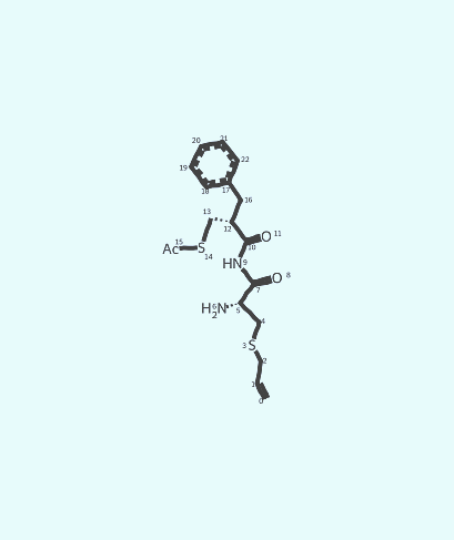 C=CCSC[C@H](N)C(=O)NC(=O)[C@H](CSC(C)=O)Cc1ccccc1